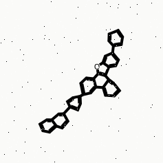 c1ccc(-c2ccc3c(c2)oc2c4ccc(-c5ccc(-c6ccc7ccccc7c6)cc5)cc4c4ccccc4c32)cc1